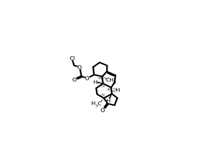 C[C@]12CC[C@H]3[C@@H](CC=C4CCCC(OC(=O)OCCl)[C@@]43C)[C@@H]1CCC2=O